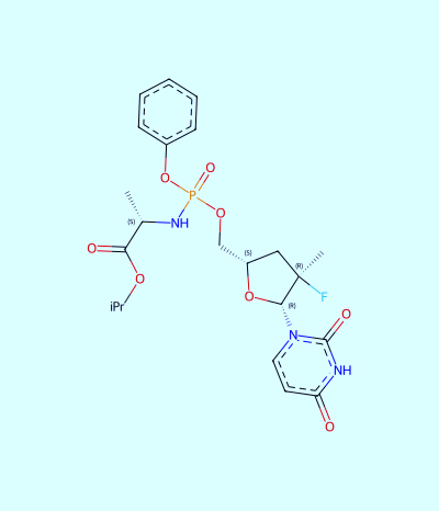 CC(C)OC(=O)[C@H](C)NP(=O)(OC[C@@H]1C[C@@](C)(F)[C@H](n2ccc(=O)[nH]c2=O)O1)Oc1ccccc1